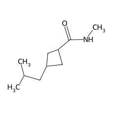 CNC(=O)C1CC(CC(C)C)C1